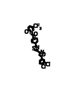 O=C(Cn1cc(C(F)(F)F)ccc1=O)N1CCC(c2nc(C3=NOC(c4ccc(Cl)c(Cl)c4)C3)cs2)CC1